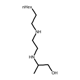 CCCCCCCCNCCNC(C)CO